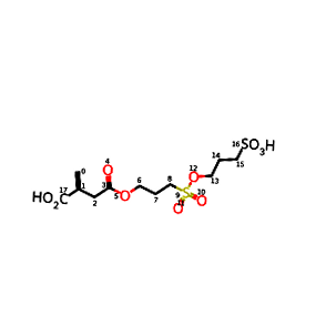 C=C(CC(=O)OCCCS(=O)(=O)OCCCS(=O)(=O)O)C(=O)O